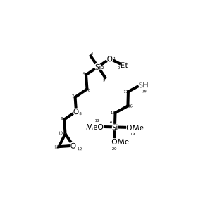 CCO[Si](C)(C)CCCOCC1CO1.CO[Si](CCCS)(OC)OC